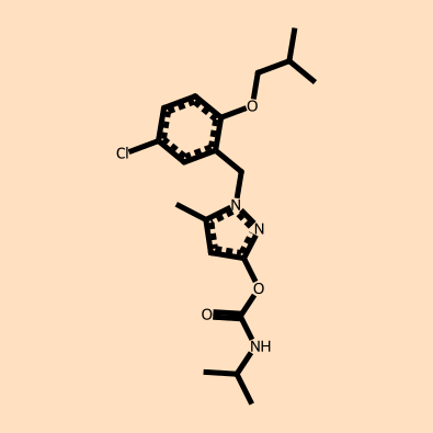 Cc1cc(OC(=O)NC(C)C)nn1Cc1cc(Cl)ccc1OCC(C)C